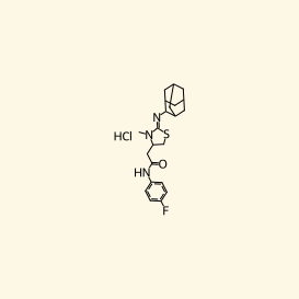 CN1/C(=N/C2C3CC4CC(C3)CC2C4)SCC1CC(=O)Nc1ccc(F)cc1.Cl